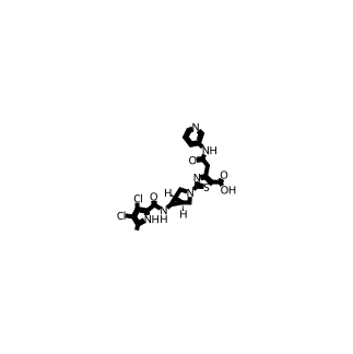 Cc1[nH]c(C(=O)NC2[C@H]3CN(c4nc(CC(=O)Nc5cccnc5)c(C(=O)O)s4)C[C@@H]23)c(Cl)c1Cl